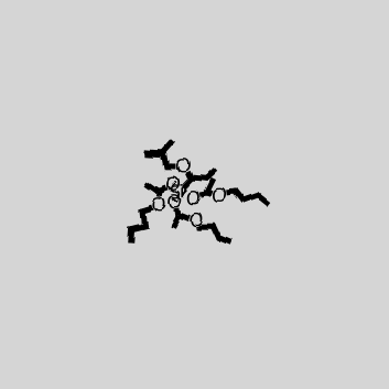 C=C(C)COC(CC)[Si](OC(C)OCCCC)(OC(C)OCCCC)OC(C)OCCCC